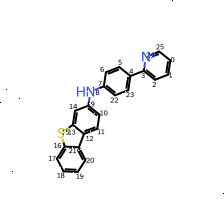 c1ccc(-c2ccc(Nc3ccc4c(c3)sc3ccccc34)cc2)nc1